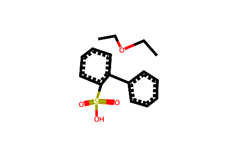 CCOCC.O=S(=O)(O)c1ccccc1-c1ccccc1